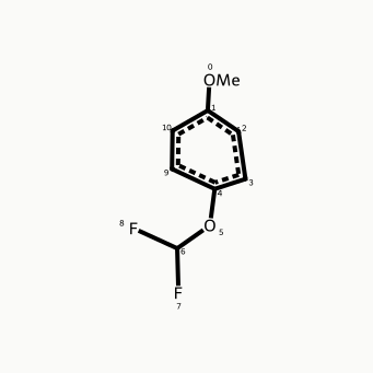 COc1[c]cc(OC(F)F)cc1